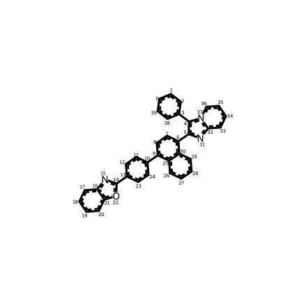 c1ccc(-c2c(-c3ccc(-c4ccc(-c5nc6ccccc6o5)cc4)c4ccccc34)nc3ccccn23)cc1